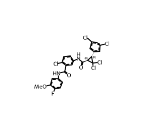 COc1cc(NC(=O)c2cc(NC(=O)[C@H]3[C@H](c4cc(Cl)cc(Cl)c4)C3(Cl)Cl)ccc2Cl)ccc1F